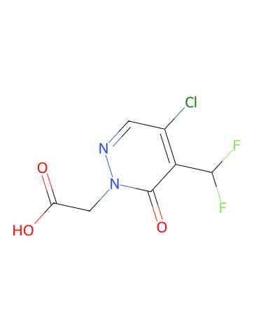 O=C(O)Cn1ncc(Cl)c(C(F)F)c1=O